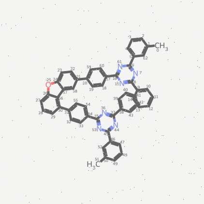 Cc1cccc(-c2nc(-c3ccccc3)nc(-c3ccc(-c4ccc5oc6cccc(-c7ccc(-c8nc(-c9ccccc9)nc(-c9cccc(C)c9)n8)cc7)c6c5c4)cc3)n2)c1